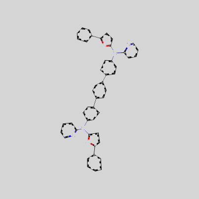 c1ccc(-c2ccc(N(c3ccc(-c4ccc(-c5ccc(N(c6ccccn6)c6ccc(-c7ccccc7)o6)cc5)cc4)cc3)c3ccccn3)o2)cc1